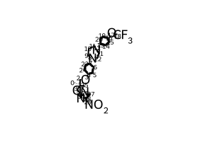 C[C@]1(COc2ccc(N3CCCN(c4ccc(OC(F)(F)F)cc4)CC3)cc2)Cn2cc([N+](=O)[O-])nc2O1